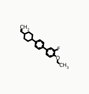 C=CC1CCC(c2ccc(-c3ccc(OCC)c(F)c3)cc2)CC1